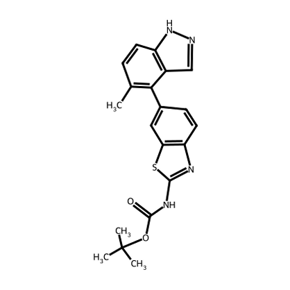 Cc1ccc2[nH]ncc2c1-c1ccc2nc(NC(=O)OC(C)(C)C)sc2c1